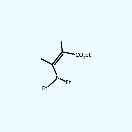 CCOC(=O)C(C)=C(C)N(CC)CC